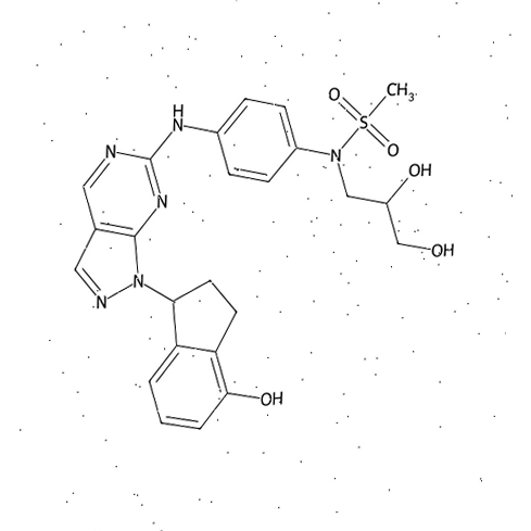 CS(=O)(=O)N(CC(O)CO)c1ccc(Nc2ncc3cnn(C4CCc5c(O)cccc54)c3n2)cc1